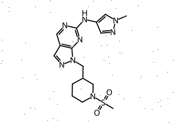 Cn1cc(Nc2ncc3cnn(CC4CCCN(S(C)(=O)=O)C4)c3n2)cn1